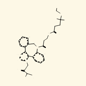 CCOC(C)(C)CCC(=O)NCCC(=O)N1Cc2ccccc2-c2nnn(CC(=O)C(C)C)c2-c2ccccc21